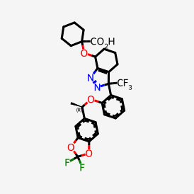 C[C@@H](Oc1ccccc1C1(C(F)(F)F)N=NC2=C1CCCC2OC1(C(=O)O)CCCCC1)c1ccc2c(c1)OC(F)(F)O2